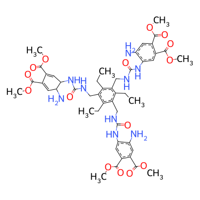 CCc1c(CNC(=O)Nc2cc(C(=O)OC)c(C(=O)OC)cc2N)c(CC)c(CNC(=O)NC2C=C(C(=O)OC)C(C(=O)OC)=CC2N)c(CC)c1CNC(=O)Nc1cc(C(=O)OC)c(C(=O)OC)cc1N